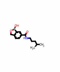 CC(C)CCCNC(=O)c1ccc2c(c1)B(O)OC2